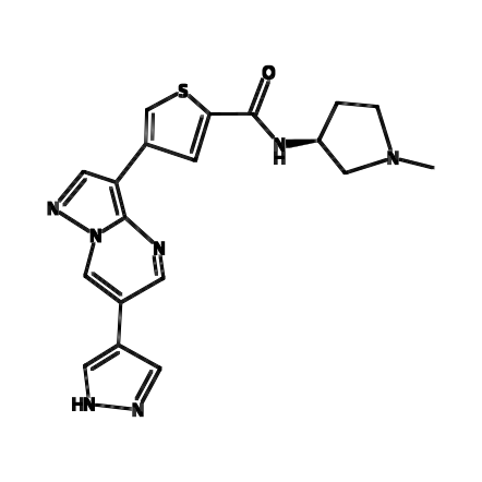 CN1CC[C@H](NC(=O)c2cc(-c3cnn4cc(-c5cn[nH]c5)cnc34)cs2)C1